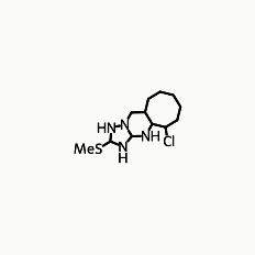 CSC1NC2NC3C(Cl)CCCCCC3CN2N1